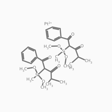 CO[Si](C)(OC)C(C(=O)c1ccccc1)C(=O)C(C)C.CO[Si](C)(OC)C(C(=O)c1ccccc1)C(=O)C(C)C.[Pt+2]